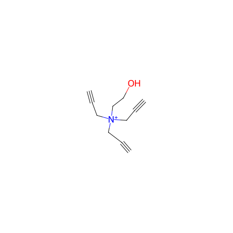 C#CC[N+](CC#C)(CC#C)CCO